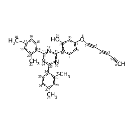 C#CC#CC#COc1ccc(-c2nc(-c3ccc(C)cc3C)nc(-c3ccc(C)cc3C)n2)c(O)c1